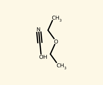 CCOCC.N#CO